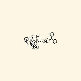 CC(C)(C)OC(=O)N1C(C(=O)NCCCN2CCC(=C(c3ccccc3)c3ccccc3)CC2)CSC1c1cccnc1